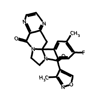 Cc1cc(C23Cc4nccnc4C(=O)N2CCN3C(=O)c2conc2C)ccc1F